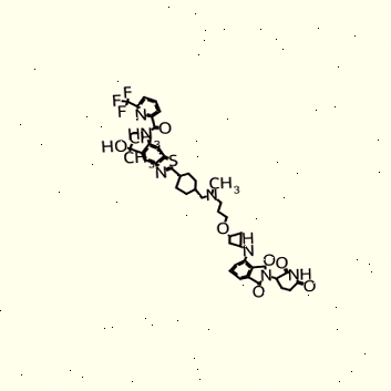 CN(CCCO[C@H]1C[C@H](Nc2cccc3c2C(=O)N(C2CCC(=O)NC2=O)C3=O)C1)CC1CCC(c2nc3cc(C(C)(C)O)c(NC(=O)c4cccc(C(F)(F)F)n4)cc3s2)CC1